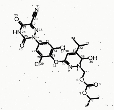 CC(C)OC(=O)OCN1N=C(Oc2c(Cl)cc(-n3nc(C#N)c(=O)[nH]c3=O)cc2Cl)C=C(C(C)C)C1O